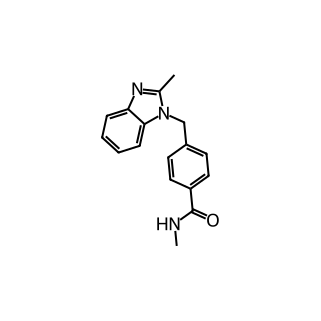 CNC(=O)c1ccc(Cn2c(C)nc3ccccc32)cc1